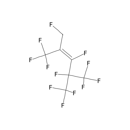 FC/C(=C(\F)C(F)(C(F)(F)F)C(F)(F)F)C(F)(F)F